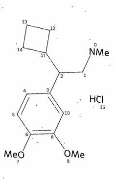 CNCC(c1ccc(OC)c(OC)c1)C1CCC1.Cl